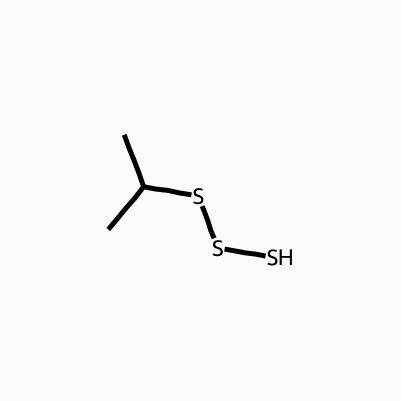 CC(C)SSS